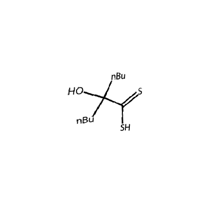 CCCCC(O)(CCCC)C(=S)S